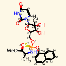 COC(=O)C(C)NP(=S)(OC[C@H]1O[C@@H](n2ccc(=O)[nH]c2=O)C(C)(O)C1O)Oc1cccc2ccccc12